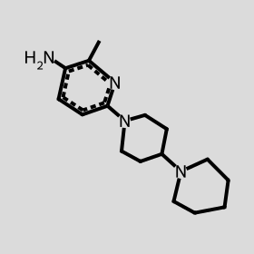 Cc1nc(N2CCC(N3CCCCC3)CC2)ccc1N